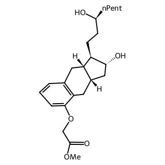 CCCCC[C@H](O)CC[C@@H]1[C@H]2Cc3cccc(OCC(=O)OC)c3C[C@H]2C[C@H]1O